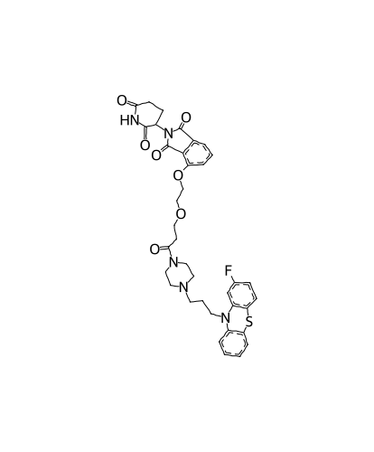 O=C1CCC(N2C(=O)c3cccc(OCCOCCC(=O)N4CCN(CCCN5c6ccccc6Sc6ccc(F)cc65)CC4)c3C2=O)C(=O)N1